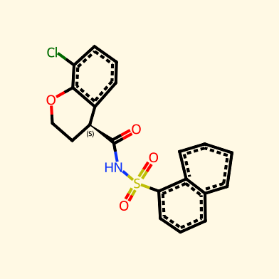 O=C(NS(=O)(=O)c1cccc2ccccc12)[C@H]1CCOc2c(Cl)cccc21